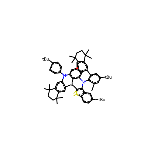 Cc1cc2c3c(c1)N(c1c(C)cc(C(C)(C)C)cc1-c1ccc4c(c1)C(C)(C)CCC4(C)C)c1c(sc4ccc(C(C)(C)C)cc14)B3c1cc3c(cc1N2c1ccc(C(C)(C)C)cc1)C(C)(C)CCC3(C)C